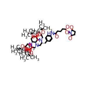 CC(C)(C)OC(=O)CN(CC(=O)OC(C)(C)C)[C@H](Cc1ccc(NC(=O)CCCC(=O)ON2C(=O)CCC2=O)cc1)CN(CC(=O)OC(C)(C)C)[C@H]1CCCC[C@@H]1N(CC(=O)OC(C)(C)C)CC(=O)OC(C)(C)C